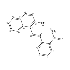 C=C(N)c1ccccc1/N=C/c1c(O)ccc2ccccc12